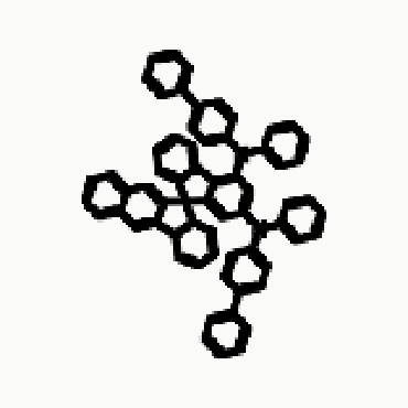 C1=CC2c3cc4ccccc4cc3C3(c4ccccc4-c4c(N(c5ccccc5)c5ccc(-c6ccccc6)cc5)cc(N(c5ccccc5)c5ccc(-c6ccccc6)cc5)cc43)C2C=C1